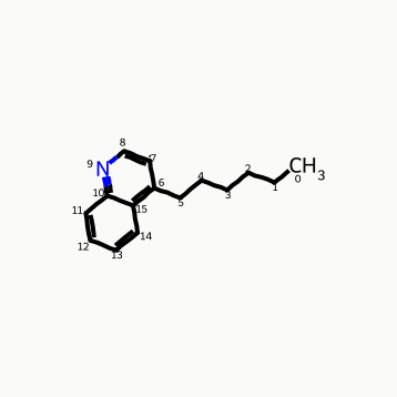 CCCCCCc1[c]cnc2ccccc12